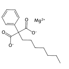 CCCCCCCC(C(=O)[O-])(C(=O)[O-])c1ccccc1.[Mg+2]